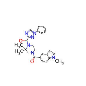 Cn1ccc2cc(C(=O)N3CCN(C(=O)c4ncn(-c5ccccc5)n4)C(C)(C)C3)ccc21